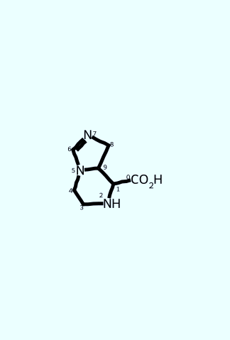 O=C(O)C1NCCN2C=NCC12